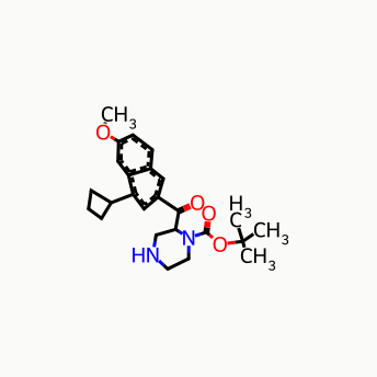 COc1ccc2cc(C(=O)C3CNCCN3C(=O)OC(C)(C)C)cc(C3CCC3)c2c1